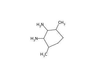 CC1CCC(C)C(N)C1N